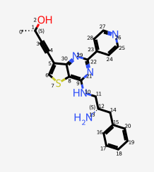 C[C@H](O)C#Cc1csc2c(NC[C@@H](N)Cc3ccccc3)nc(-c3ccncc3)nc12